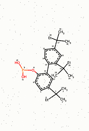 CCC(C)(C)c1ccc(OP(O)O)c(-c2ccc(C(C)(C)CC)cc2C(C)(C)CC)c1